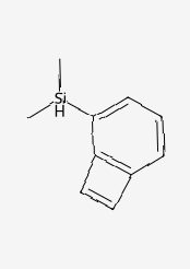 C[SiH](C)c1cccc2c1C=C2